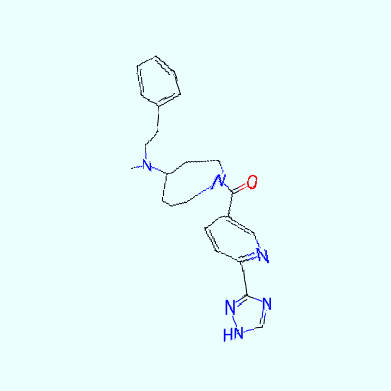 CN(CCc1ccccc1)C1CCN(C(=O)c2ccc(-c3nc[nH]n3)nc2)CC1